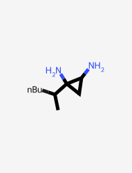 CCCCC(C)C1(N)CC1N